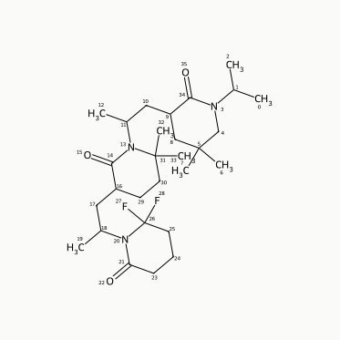 CC(C)N1CC(C)(C)CC(CC(C)N2C(=O)C(CC(C)N3C(=O)CCCC3(F)F)CCC2(C)C)C1=O